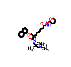 CN(C)CC(C)(C)CNC(=O)/C(=C/CCCCC(=O)NOC1CCCCO1)COc1cccc2ccccc12